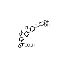 CC(Oc1ccc(C2(CC(=O)O)COC2)cc1)c1cccc(-c2ccc(OCC3CCS(O)(O)C3)cc2Cl)c1